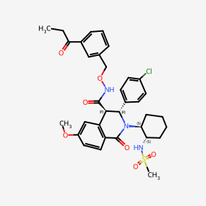 CCC(=O)c1cccc(CONC(=O)[C@@H]2c3cc(OC)ccc3C(=O)N([C@H]3CCCC[C@@H]3NS(C)(=O)=O)[C@H]2c2ccc(Cl)cc2)c1